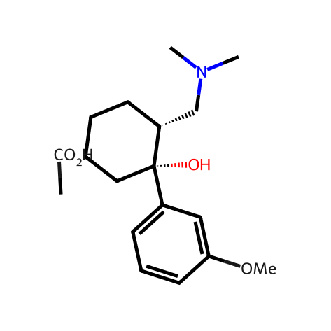 CC(=O)O.COc1cccc([C@@]2(O)CCCC[C@@H]2CN(C)C)c1